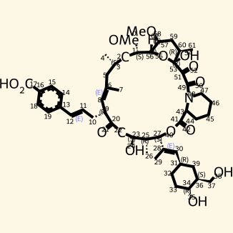 CO[C@H]1C[C@@H](C)C/C(C)=C/[C@@H](C/C=C/c2ccc(C(=O)O)cc2)C(=O)C[C@H](O)[C@@H](C)[C@@H](/C(C)=C/[C@@H]2CC[C@@H](O)[C@H](CO)C2)OC(=O)C2CCCCN2C(=O)C(=O)[C@]2(O)O[C@H]1[C@@H](OC)C[C@H]2C